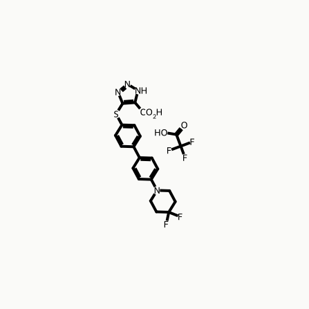 O=C(O)C(F)(F)F.O=C(O)c1[nH]nnc1Sc1ccc(-c2ccc(N3CCC(F)(F)CC3)cc2)cc1